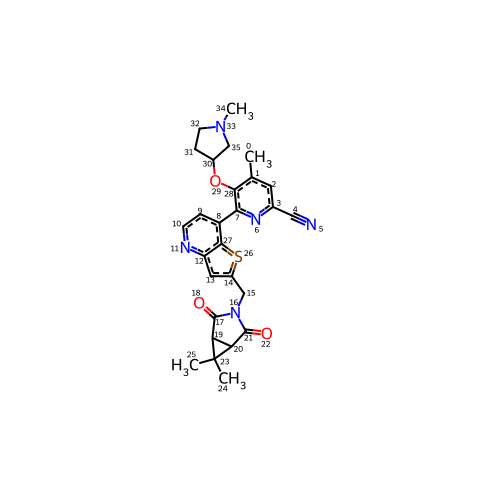 Cc1cc(C#N)nc(-c2ccnc3cc(CN4C(=O)C5C(C4=O)C5(C)C)sc23)c1OC1CCN(C)C1